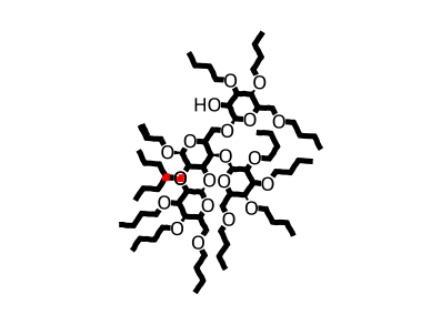 C=CCO[C@H]1OC(CO[C@@H]2OC(COCCCC)[C@@H](OCCCC)C(OCCCC)C2O)[C@@H](O[C@@H]2OC(COCCCC)[C@@H](OCCCC)C(OCCCC)C2OCCCC)C(O[C@@H]2OC(COCCCC)[C@@H](OCCCC)C(OCCCC)C2OCCCC)C1OCCCC